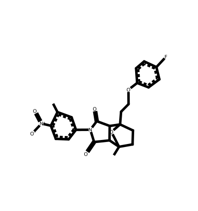 Cc1cc(N2C(=O)C3C(C2=O)C2(CCOc4ccc(F)cc4)CCC3(C)O2)ccc1[N+](=O)[O-]